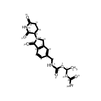 CC(OC(=O)NCc1ccc2c(c1)CN(C1CCC(=O)NC1=O)C2=O)OC(=O)C(C)C